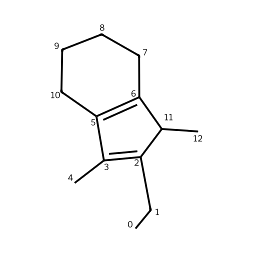 CCC1=C(C)C2=C(CCCC2)C1C